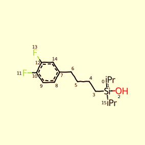 CC(C)[Si](O)(CCCCc1ccc(F)c(F)c1)C(C)C